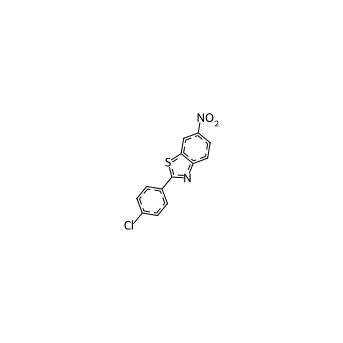 O=[N+]([O-])c1ccc2nc(-c3ccc(Cl)cc3)sc2c1